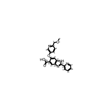 COCc1ccc(Oc2cc3[nH]c(-c4ccccn4)nc3cc2C(=O)O)cn1